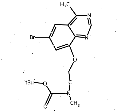 Cc1ncnc2c(OCCN(C)C(=O)OC(C)(C)C)cc(Br)cc12